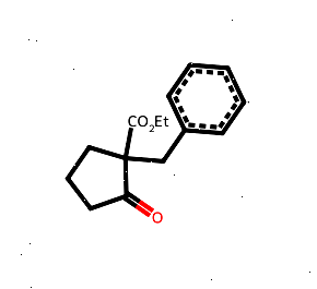 CCOC(=O)C1(Cc2c[c]ccc2)CCCC1=O